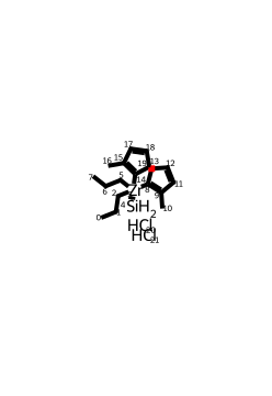 CC[CH2][Zr](=[SiH2])([CH2]CC)([C]1=C(C)C=CC1)[C]1=C(C)C=CC1.Cl.Cl